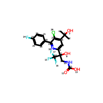 CC(C)(O)c1cc(C(O)(CNC(=O)O)C(F)(F)F)nc(-c2ccc(F)cc2)c1Cl